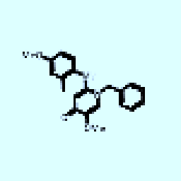 COc1ccc(Nc2cc(=O)c(OC)cn2Cc2ccccc2)c(C)c1